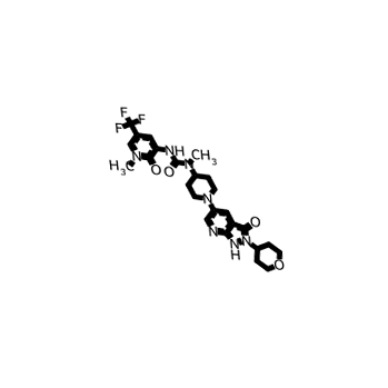 CN(C(=O)Nc1cc(C(F)(F)F)cn(C)c1=O)C1CCN(c2cnc3[nH]n(C4CCOCC4)c(=O)c3c2)CC1